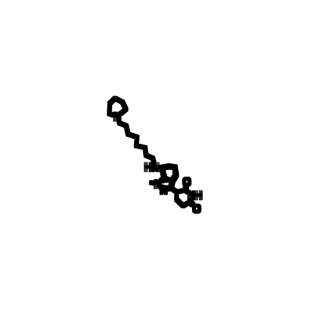 Cn1nc(C2CCC(=O)NC2=O)c2cccc(NCCCCCCCCN3CCCCC3)c21